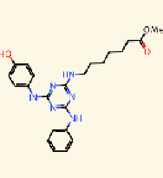 COC(=O)CCCCCCNc1nc(Nc2ccccc2)nc(Nc2ccc(O)cc2)n1